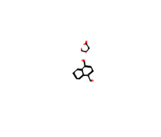 O=Cc1ccc(C(=O)OC2COC(=O)C2)c2ccccc12